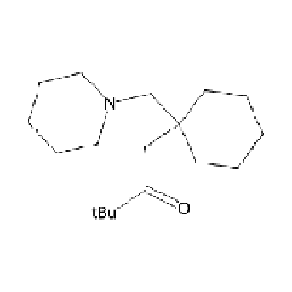 CC(C)(C)C(=O)CC1(CN2CCCCC2)CCCCC1